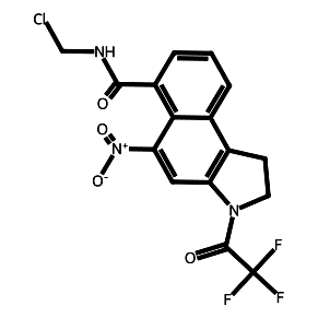 O=C(NCCl)c1cccc2c3c(cc([N+](=O)[O-])c12)N(C(=O)C(F)(F)F)CC3